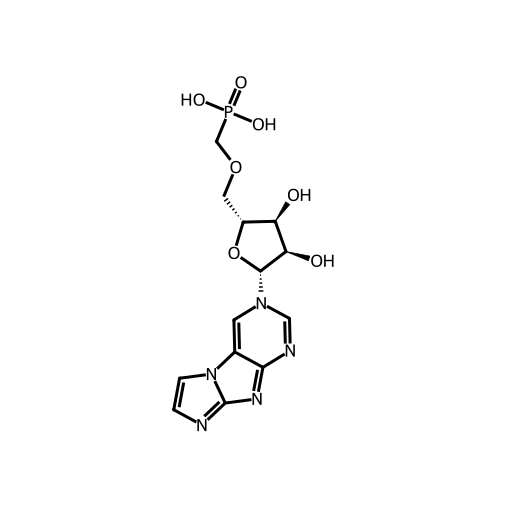 O=P(O)(O)COC[C@H]1O[C@@H](n2cnc3nc4nccn4c3c2)[C@H](O)[C@@H]1O